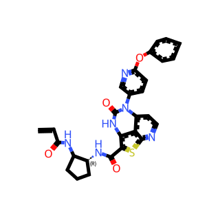 C=CC(=O)NC1CCC[C@H]1NC(=O)c1sc2nccc3c2c1NC(=O)N3c1ccc(Oc2ccccc2)nc1